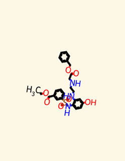 CCOC(=O)c1cccc(S(=O)(=O)Nc2ccc(O)cc2NCCNCC(=O)OCc2ccccc2)c1